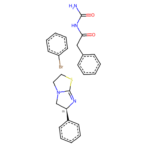 Brc1ccccc1.NC(=O)NC(=O)Cc1ccccc1.c1ccc([C@H]2CN3CCSC3=N2)cc1